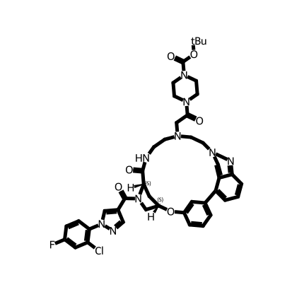 CC(C)(C)OC(=O)N1CCN(C(=O)CN2CCNC(=O)[C@@H]3C[C@@H](CN3C(=O)c3cnn(-c4ccc(F)cc4Cl)c3)Oc3cccc(c3)-c3cccc4nn(cc34)CC2)CC1